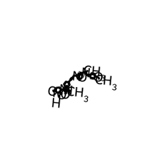 COc1ccc(CN(C)C[C@@H]2CN(CC#Cc3ccc4c(c3)n(C)c(=O)n4C3CCC(=O)NC3=O)CCO2)cc1